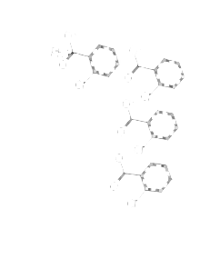 O=C([O-])c1ccccc1Cl.O=C([O-])c1ccccc1Cl.O=C([O-])c1ccccc1Cl.O=C([O-])c1ccccc1Cl.[Pb+4]